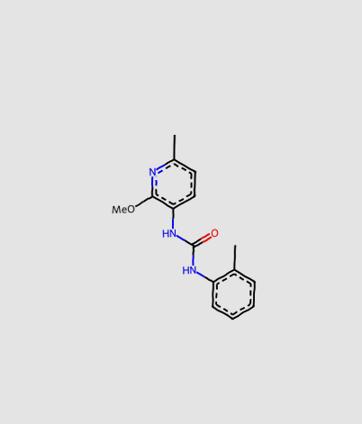 COc1nc(C)ccc1NC(=O)Nc1ccccc1C